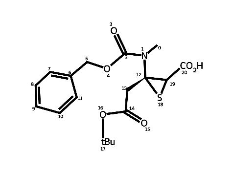 CN(C(=O)OCc1ccccc1)[C@@]1(CC(=O)OC(C)(C)C)SC1C(=O)O